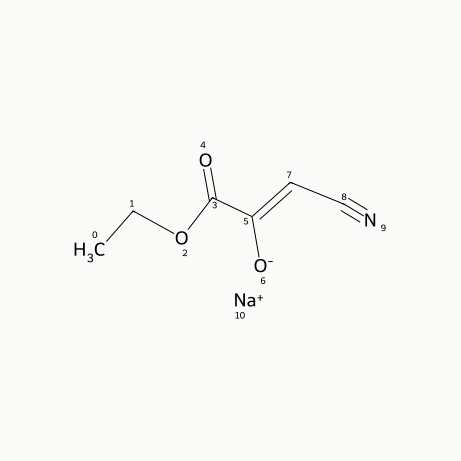 CCOC(=O)C([O-])=CC#N.[Na+]